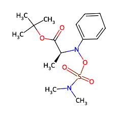 C[C@@H](C(=O)OC(C)(C)C)N(OS(=O)(=O)N(C)C)c1ccccc1